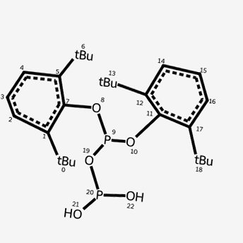 CC(C)(C)c1cccc(C(C)(C)C)c1OP(Oc1c(C(C)(C)C)cccc1C(C)(C)C)OP(O)O